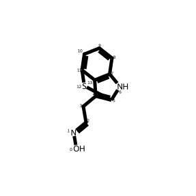 ON=CCc1c2[nH]c3cccc(s2)c13